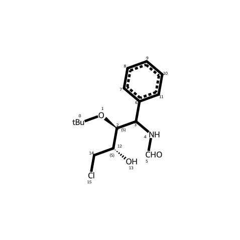 CC(C)(C)O[C@@H](C(NC=O)c1ccccc1)[C@H](O)CCl